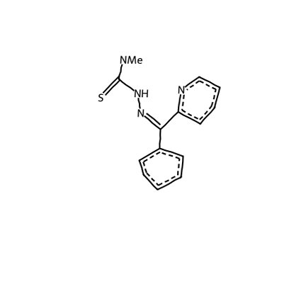 CNC(=S)NN=C(c1ccccc1)c1ccccn1